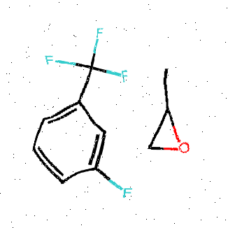 CC1CO1.Fc1cccc(C(F)(F)F)c1